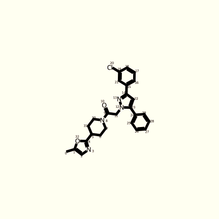 Cc1cnc(C2CCN(C(=O)Cn3nc(-c4cccc(Cl)c4)cc3-c3ccccc3)CC2)o1